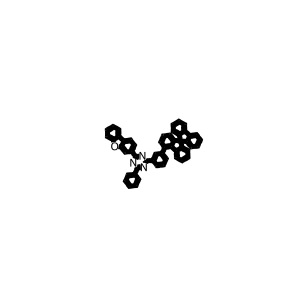 c1ccc(-c2nc(-c3cccc(-c4cccc5c4-c4ccccc4C54c5ccccc5-c5ccccc54)c3)nc(-c3ccc4c(c3)oc3ccccc34)n2)cc1